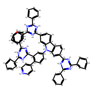 c1ccc(-c2nc(-c3ccccc3)nc(-c3ccc4c5ccc(-c6nc(-c7ccccc7)nc(-c7ccccc7)n6)cc5n(-c5ccc(-c6ccncc6)c(-c6nc(-c7ccccc7)nc(-c7ccccc7)n6)c5)c4c3)n2)cc1